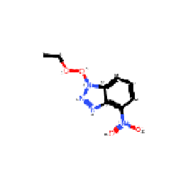 CCOOn1nnc2c([N+](=O)[O-])cccc21